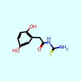 NC(=S)NC(=O)Cc1cc(O)ccc1O